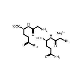 NCC(=O)N[C@@H](CCC(N)=O)C(=O)[O-].NCC(=O)N[C@@H](CCC(N)=O)C(=O)[O-].[Mg+2]